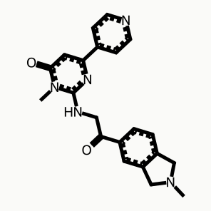 CN1Cc2ccc(C(=O)CNc3nc(-c4ccncc4)cc(=O)n3C)cc2C1